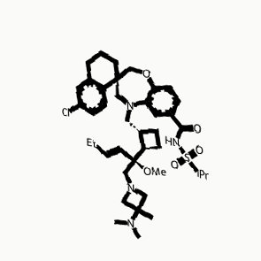 CC/C=C/[C@](CN1CC(C)(N(C)C)C1)(OC)[C@@H]1CC[C@H]1CN1C[C@@]2(CCCc3cc(Cl)ccc32)COc2ccc(C(=O)NS(=O)(=O)C(C)C)cc21